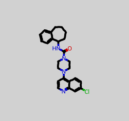 O=C(NC1CCCCc2ccccc21)N1CCN(c2ccnc3cc(Cl)ccc23)CC1